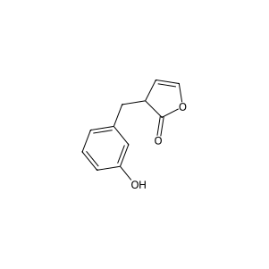 O=C1OC=CC1Cc1cccc(O)c1